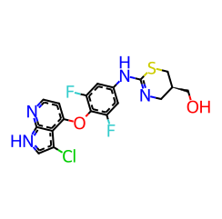 OC[C@H]1CN=C(Nc2cc(F)c(Oc3ccnc4[nH]cc(Cl)c34)c(F)c2)SC1